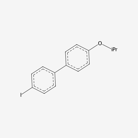 CC(C)Oc1ccc(-c2ccc(I)cc2)cc1